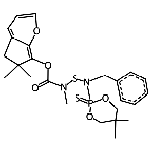 CN(SN(Cc1ccccc1)P1(=S)OCC(C)(C)CO1)C(=O)OC1=C2OC=CC=C2CC1(C)C